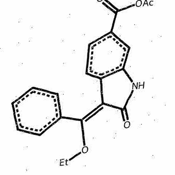 CCO/C(=C1\C(=O)Nc2cc(C(=O)OC(C)=O)ccc21)c1ccccc1